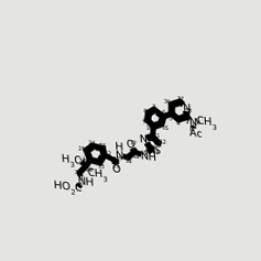 CC(=O)N(C)c1cc(-c2cccc(-c3csc(NC(=O)CNC(=O)c4cccc(C(C)(C)CNC(=O)O)c4)n3)c2)ccn1